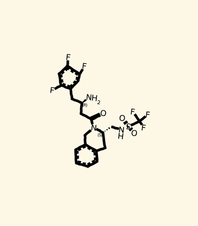 N[C@@H](CC(=O)N1Cc2ccccc2C[C@H]1CNS(=O)(=O)C(F)(F)F)Cc1cc(F)c(F)cc1F